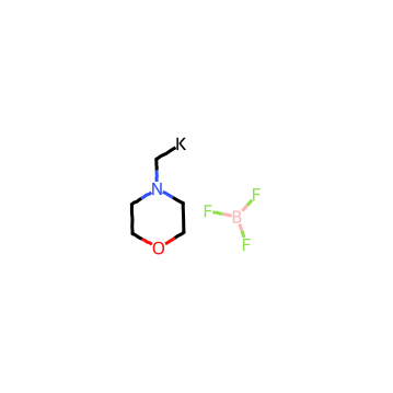 FB(F)F.[K][CH2]N1CCOCC1